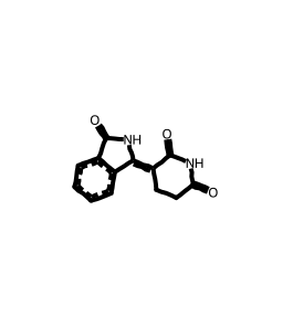 O=C1CCC(=C2NC(=O)c3ccccc32)C(=O)N1